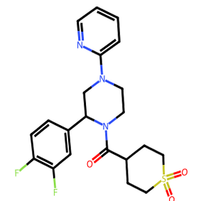 O=C(C1CCS(=O)(=O)CC1)N1CCN(c2ccccn2)CC1c1ccc(F)c(F)c1